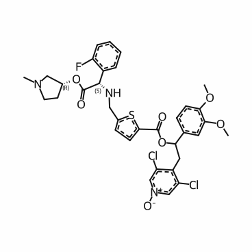 COc1ccc(C(Cc2c(Cl)c[n+]([O-])cc2Cl)OC(=O)c2ccc(CN[C@H](C(=O)O[C@@H]3CCN(C)C3)c3ccccc3F)s2)cc1OC